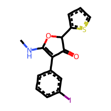 CNC1=C(c2cccc(I)c2)C(=O)C(c2cccs2)O1